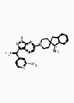 C=C(c1ccnc(C)c1)c1n[nH]c2nc(N3CCC4(CC3)Cc3ccccc3[C@H]4N)cnc12